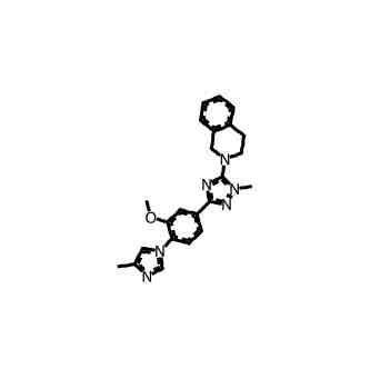 COc1cc(-c2nc(N3CCc4ccccc4C3)n(C)n2)ccc1-n1cnc(C)c1